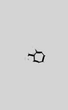 OC1=CC=CC=C2ONC=C12